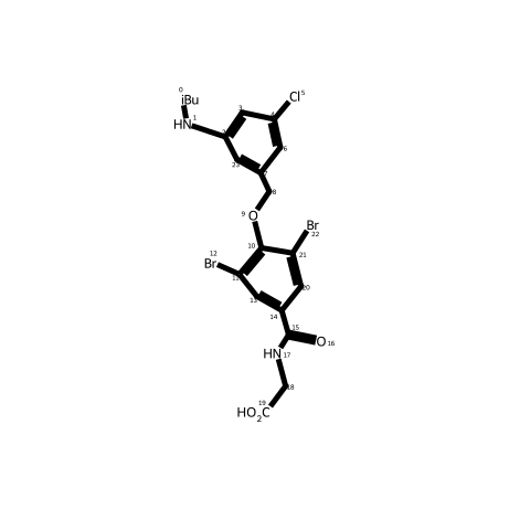 CCC(C)Nc1cc(Cl)cc(COc2c(Br)cc(C(=O)NCC(=O)O)cc2Br)c1